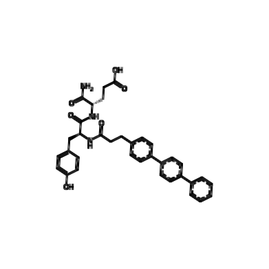 NC(=O)[C@H](CCC(=O)O)NC(=O)[C@H](CC1=C=C=C(O)C=C1)NC(=O)CCc1ccc(-c2ccc(-c3ccccc3)cc2)cc1